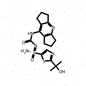 CC(C)(O)c1ncc([S@@](N)(=O)=NC(=O)Nc2c3c(nc4c2CCC4)CCC3)s1